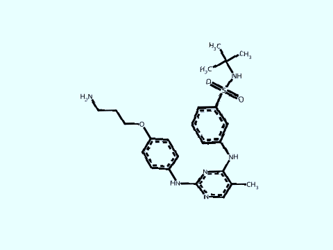 Cc1cnc(Nc2ccc(OCCCN)cc2)nc1Nc1cccc(S(=O)(=O)NC(C)(C)C)c1